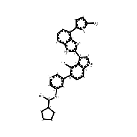 CC(=O)c1ccc(-c2ccnc3[nH]c(-c4n[nH]c5ccc(-c6cncc(NC(O)C7CCCC7)c6)c(F)c45)nc23)s1